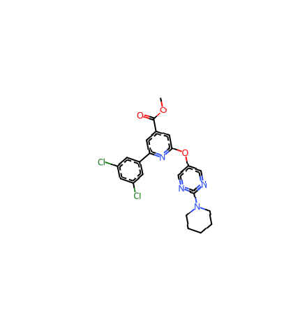 COC(=O)c1cc(Oc2cnc(N3CCCCC3)nc2)nc(-c2cc(Cl)cc(Cl)c2)c1